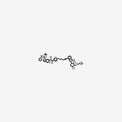 CCN1CCC[C@@H]1c1cc2cnc(NC(=O)c3ccc(CCCCC#Cc4cccc5c4CN(C4CCC(=O)N(COCC[Si](C)(C)C)C4=O)C5=O)nc3)cc2n1C(=O)OC(C)(C)C